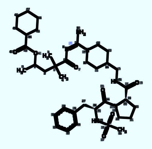 CC(CC(C)(C)C(=O)/N=C(/N)N1CCC(CNC(=O)[C@@H]2CCCN2C(=O)[C@@H](Cc2ccccc2)NS(C)(=O)=O)CC1)OC(=O)C1CCCCC1